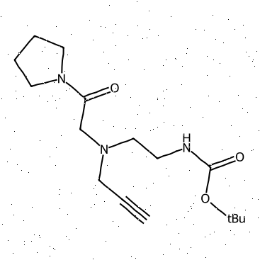 C#CCN(CCNC(=O)OC(C)(C)C)CC(=O)N1CCCC1